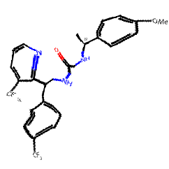 COc1ccc([C@H](C)NC(=O)NC(c2ccc(C(F)(F)F)cc2)c2ncccc2C(F)(F)F)cc1